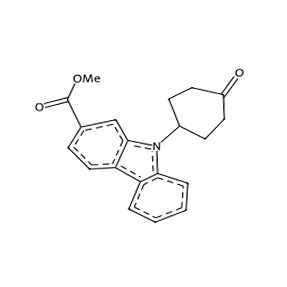 COC(=O)c1ccc2c3ccccc3n(C3CCC(=O)CC3)c2c1